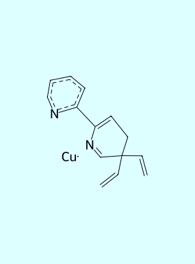 C=CC1(C=C)C=NC(c2ccccn2)=CC1.[Cu]